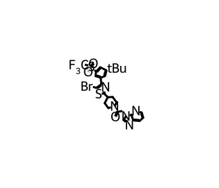 CC(C)(C)c1cc(-c2nc(C3CCN(C(=O)Cn4cnc5cccnc54)CC3)sc2Br)cc(S(=O)(=O)C(F)(F)F)c1